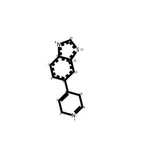 C1=NCC=C(c2ccc3ncsc3c2)C1